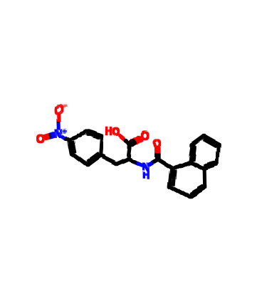 O=C(NC(Cc1ccc([N+](=O)[O-])cc1)C(=O)O)c1cccc2ccccc12